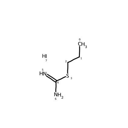 CCCSC(=N)N.I